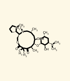 CO[C@@H]1C[C@@H](C)CN(C)[C@H]([C@@H]2CCCN2C)COC(=O)C(C)(C)C(=O)[C@H](C)[C@H]1O[C@@H]1O[C@H](C)C[C@H](N(C)C)[C@H]1O